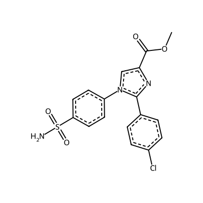 COC(=O)c1cn(-c2ccc(S(N)(=O)=O)cc2)c(-c2ccc(Cl)cc2)n1